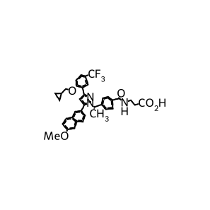 COc1ccc2cc(-c3cc(-c4cc(C(F)(F)F)ccc4OCC4CC4)nn3[C@@H](C)c3ccc(C(=O)NCCC(=O)O)cc3)ccc2c1